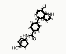 O=C(NC12CCC(O)(CC1)C2)c1ccc(-c2ncc(Cl)c3[nH]ccc23)cc1